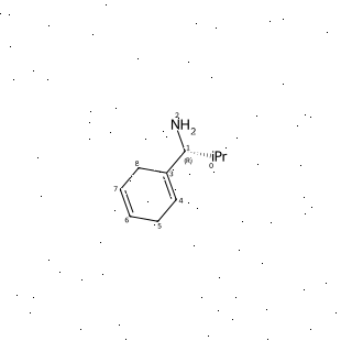 CC(C)[C@@H](N)C1=CCC=CC1